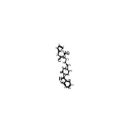 O=C1Cc2cccn2C(=O)N1CCCN1CCN(c2nsc3ccccc23)CC1